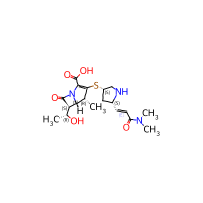 C[C@@H](O)[C@H]1C(=O)N2C(C(=O)O)=C(S[C@@H]3CN[C@H](/C=C/C(=O)N(C)C)C3)[C@H](C)[C@H]12